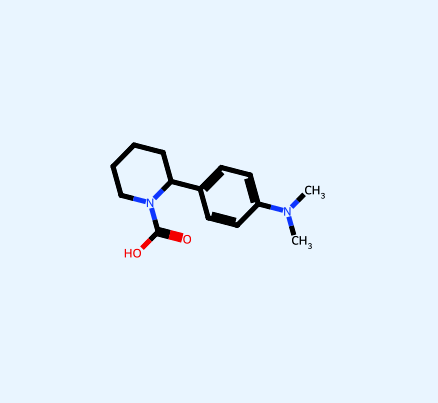 CN(C)c1ccc(C2CCCCN2C(=O)O)cc1